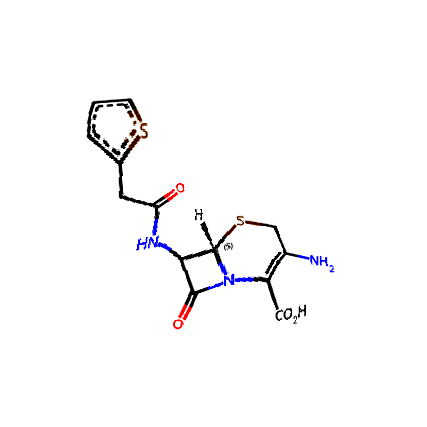 NC1=C(C(=O)O)N2C(=O)C(NC(=O)Cc3cccs3)[C@@H]2SC1